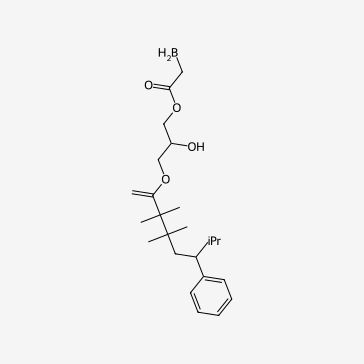 BCC(=O)OCC(O)COC(=C)C(C)(C)C(C)(C)CC(c1ccccc1)C(C)C